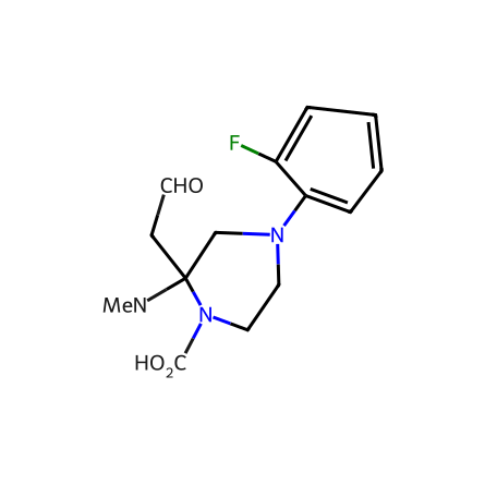 CNC1(CC=O)CN(c2ccccc2F)CCN1C(=O)O